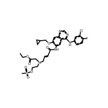 CCOC(=O)CN(CC=CC(=O)Nc1cc2c(Nc3ccc(F)c(Cl)c3)ncnc2cc1OCC1CC1)CCOS(C)(=O)=O